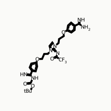 CC(C)(C)OC(=O)NC(=N)c1ccc(OCCCn2ccn(CCCOc3ccc(C(=N)N)cc3)/c2=N/C(=O)C(F)(F)F)cc1